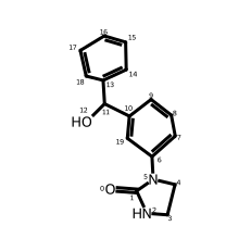 O=C1NCCN1c1cccc(C(O)c2ccccc2)c1